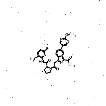 COc1ncc(-c2ccc3c(c2)c(C(C)=O)nn3CC(=O)N2CCCC2C(=O)Nc2nc(Br)ccc2C)cn1